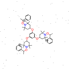 CC(ON1C(C)(C)CC(Oc2cc(OC3CC(C)(C)N(OC(C)c4ccccc4)C(C)(C(C)C)C3)cc(OC3CC(C)(C)N(OC(C)c4ccccc4)C(C)(C(C)C)C3)c2)CC1(C)C(C)C)c1ccccc1